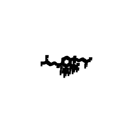 FC(F)=CCSc1ccc(SCC=C(F)F)c(S(F)(F)(F)(F)F)c1S(F)(F)(F)(F)F